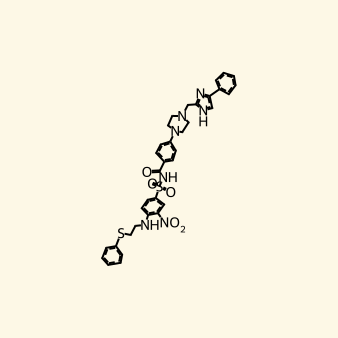 O=C(NS(=O)(=O)c1ccc(NCCSc2ccccc2)c([N+](=O)[O-])c1)c1ccc(N2CCN(Cc3nc(-c4ccccc4)c[nH]3)CC2)cc1